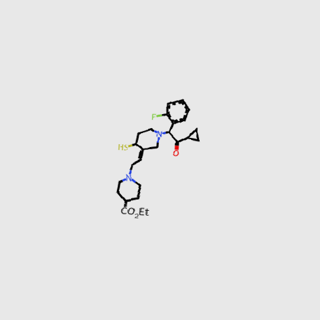 CCOC(=O)C1CCN(CC=C2CN(C(C(=O)C3CC3)c3ccccc3F)CCC2S)CC1